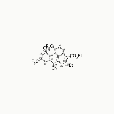 CCOC(=O)N1c2ccc(C(F)(F)F)cc2C(C(C#N)c2cc(C(F)(F)F)cc(C(F)(F)F)c2)=C[C@H]1CC